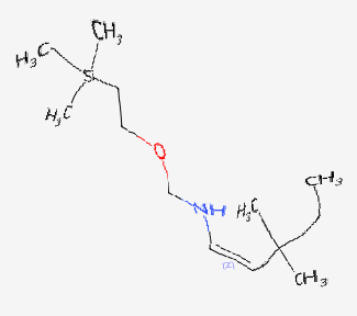 CCC(C)(C)/C=C\NCOCC[Si](C)(C)C